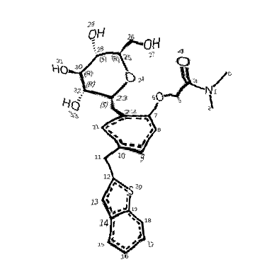 CN(C)C(=O)COc1ccc(Cc2cc3ccccc3s2)cc1[C@@H]1O[C@H](CO)[C@@H](O)[C@H](O)[C@H]1O